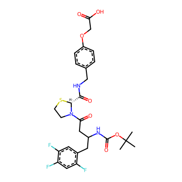 CC(C)(C)OC(=O)NC(CC(=O)N1CCS[C@@H]1C(=O)NCc1ccc(OCC(=O)O)cc1)Cc1cc(F)c(F)cc1F